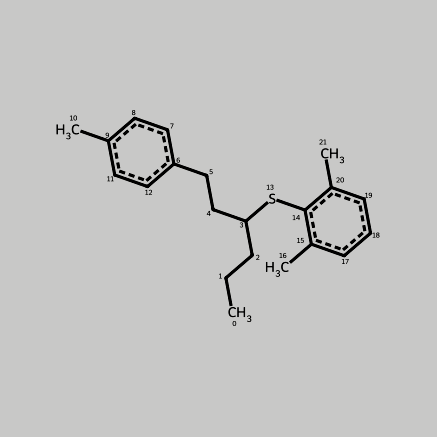 CCCC(CCc1ccc(C)cc1)Sc1c(C)cccc1C